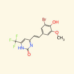 COc1cc(/C=C/c2cc(C(F)(F)F)[nH]c(=O)n2)cc(Br)c1O